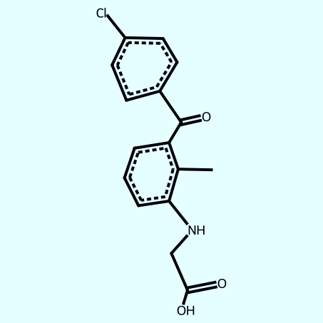 Cc1c(NCC(=O)O)cccc1C(=O)c1ccc(Cl)cc1